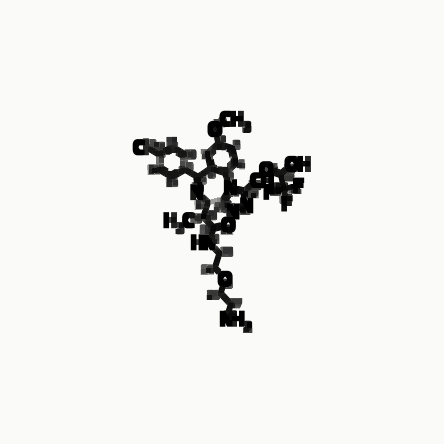 COc1ccc2c(c1)C(c1ccc(Cl)cc1)=N[C@@H]([C@@H](C)C(=O)NCCOCCN)c1nnc(C)n1-2.O=C(O)C(F)(F)F